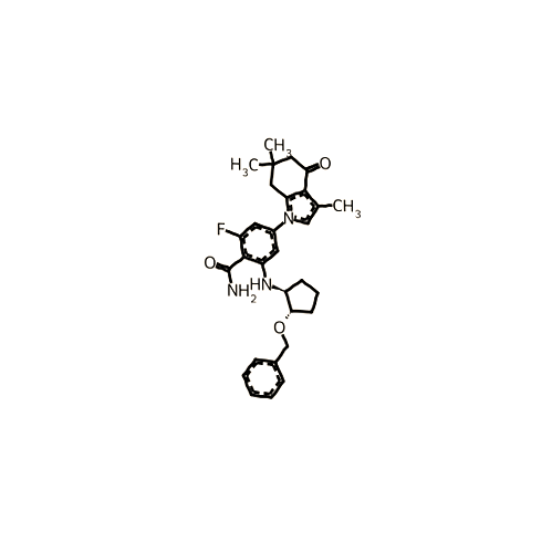 Cc1cn(-c2cc(F)c(C(N)=O)c(N[C@H]3CCC[C@@H]3OCc3ccccc3)c2)c2c1C(=O)CC(C)(C)C2